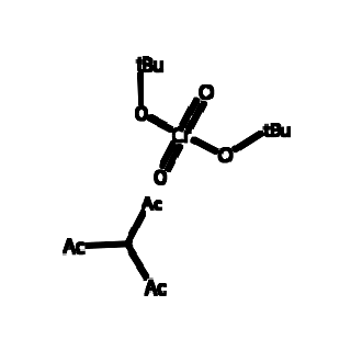 CC(=O)C(C(C)=O)C(C)=O.CC(C)(C)[O][Cr](=[O])(=[O])[O]C(C)(C)C